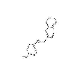 C=Cc1ccc(OCc2ccc3ccccc3c2)cc1